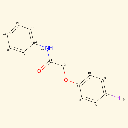 O=C(COc1ccc(I)cc1)Nc1ccccc1